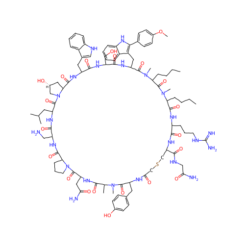 CCCCC1C(=O)N(C)C(CCCC)C(=O)NC(CCCNC(=N)N)C(=O)NC(C(=O)NCC(N)=O)CSCC(=O)NC(Cc2ccc(O)cc2)C(=O)N(C)C(C)C(=O)NC(CC(N)=O)C(=O)N2CCCC2C(=O)NC(CN)C(=O)NC(CC(C)C)C(=O)N2C[C@H](O)CC2C(=O)NC(Cc2c[nH]c3ccccc23)C(=O)NC(CO)C(=O)NC(Cc2c(-c3ccc(OC)cc3)[nH]c3ccccc23)C(=O)N1C